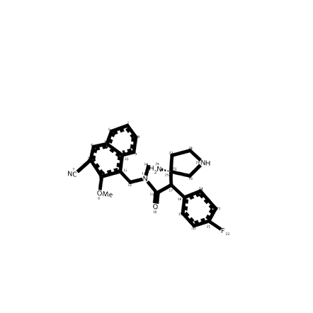 COc1c(C#N)cc2ccccc2c1CN(C)C(=O)C(c1ccc(F)cc1)[C@@]1(N)CCNC1